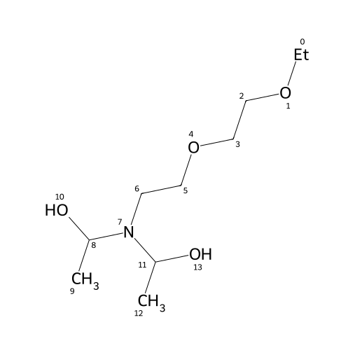 [CH2]COCCOCCN(C(C)O)C(C)O